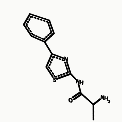 CC(N)C(=O)Nc1nc(-c2ccccc2)cs1